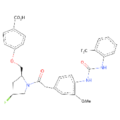 COc1cc(CC(=O)N2C[C@@H](F)C[C@H]2COc2ccc(C(=O)O)cc2)ccc1NC(=O)Nc1ccccc1C(F)(F)F